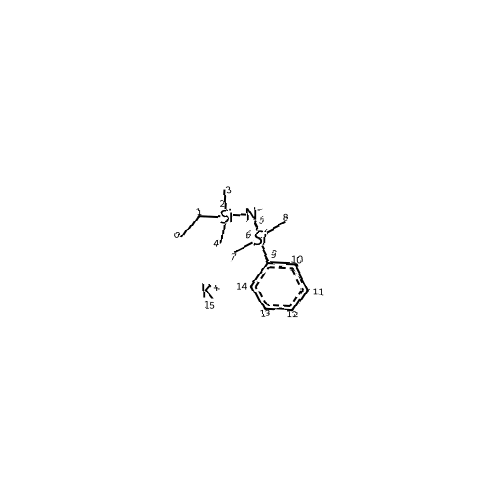 CC[Si](C)(C)[N-][Si](C)(C)c1ccccc1.[K+]